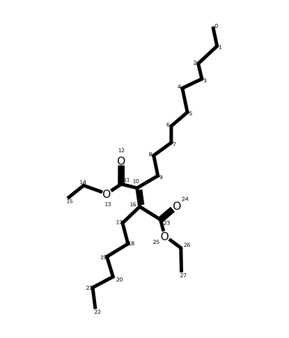 CCCCCCCCCCC(C(=O)OCC)=C(CCCCCC)C(=O)OCC